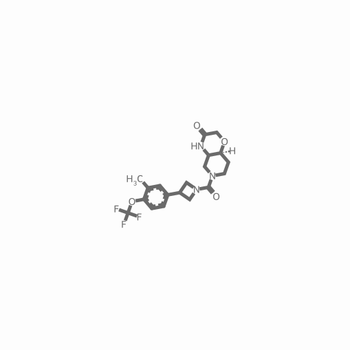 Cc1cc(C2CN(C(=O)N3CC[C@@H]4OCC(=O)NC4C3)C2)ccc1OC(F)(F)F